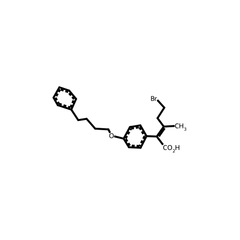 CC(CCBr)=C(C(=O)O)c1ccc(OCCCCc2ccccc2)cc1